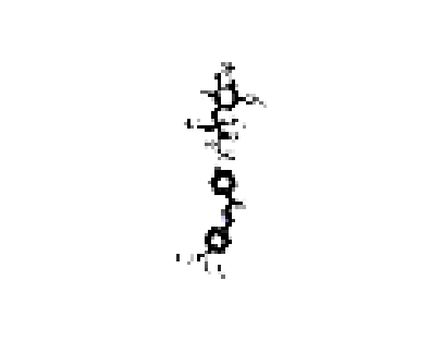 CCC(C)(CC(CC(C)C#N)C(=O)NCO)C(=O)NS(=O)Oc1ccc(C(=O)/C=C/c2ccc(N(C)C)cc2)cc1